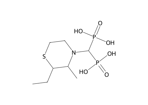 CCC1SCCN(C(P(=O)(O)O)P(=O)(O)O)C1C